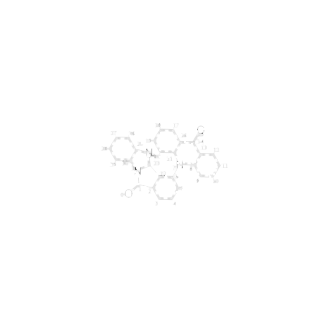 O=C1c2cccc(-n3c4ccccc4c(=O)c4ccccc43)c2-c2nc3ccccc3n21